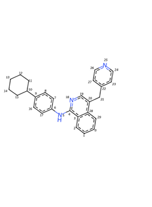 c1ccc2c(Nc3ccc(C4CCCCC4)cc3)ncc(Cc3ccncc3)c2c1